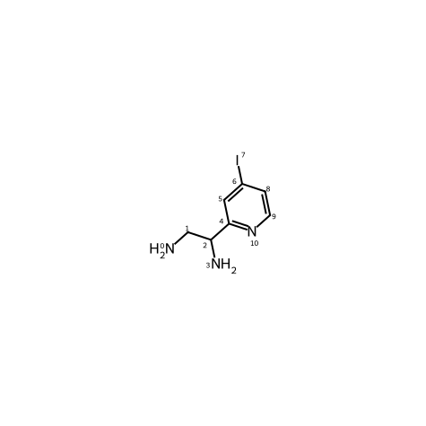 NCC(N)c1cc(I)ccn1